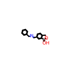 OB1OCc2ccc(/C=N/Cc3ccccc3)cc21